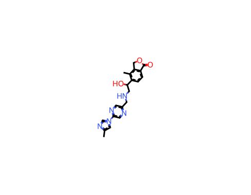 Cc1cn(-c2cnc(CNCC(O)c3ccc4c(c3C)COC4=O)cn2)cn1